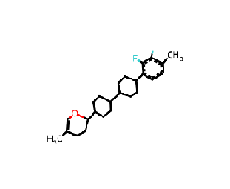 CC1=COC(C2CCC(C3CCC(c4ccc(C)c(F)c4F)CC3)CC2)CC1